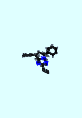 CO[C@H]1C[C@@H](c2ccccc2)n2nc(C=O)nc21